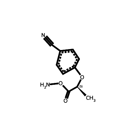 C[C@H](Oc1ccc(C#N)cc1)C(=O)ON